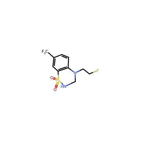 O=S1(=O)NCN(CCF)c2ccc(C(F)(F)F)cc21